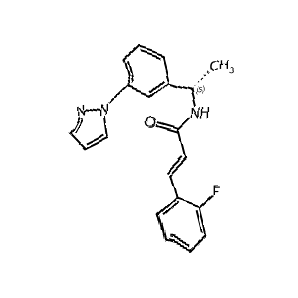 C[C@H](NC(=O)C=Cc1ccccc1F)c1cccc(-n2cccn2)c1